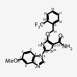 COc1ccc2c(c1)ncn2-c1nc(OCc2ccccc2C(F)(F)F)c(C(N)=O)s1